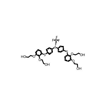 F[B-](F)(F)F.OCCOc1cccc(Sc2ccc(Sc3ccc(Sc4cccc(OCCO)c4OCCO)cc3)cc2)c1OCCO